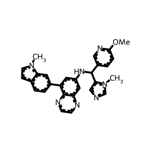 COc1ccc(C(Nc2cc(-c3ccc4ccn(C)c4c3)c3nccnc3c2)c2cncn2C)cn1